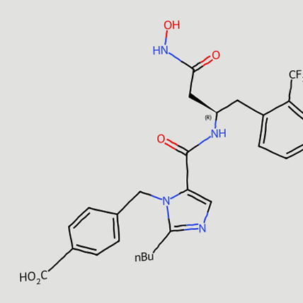 CCCCc1ncc(C(=O)N[C@@H](CC(=O)NO)Cc2ccccc2C(F)(F)F)n1Cc1ccc(C(=O)O)cc1